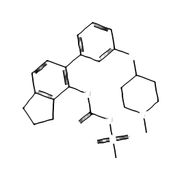 CN1CCC(Oc2cccc(-c3ccc4c(c3NC(=O)NS(C)(=O)=O)CCC4)c2)CC1